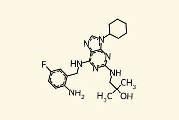 CC(C)(O)CNc1nc(NCc2cc(F)ccc2N)c2ncn(C3CCCCC3)c2n1